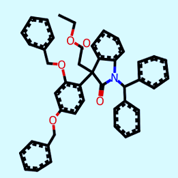 CCOC(=O)CC1(c2ccc(OCc3ccccc3)cc2OCc2ccccc2)C(=O)N(C(c2ccccc2)c2ccccc2)c2ccccc21